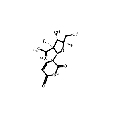 C=C(C)[C@]1(F)[C@H](n2ccc(=O)[nH]c2=O)O[C@](F)(CO)[C@H]1O